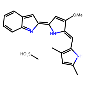 COc1cc(=C2C=c3ccccc3=N2)[nH]c1=Cc1[nH]c(C)cc1C.CS(=O)(=O)O